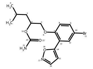 CC(C)CC(COc1ccc(Br)cc1-c1ccno1)OC(N)=O